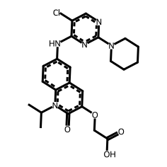 CC(C)n1c(=O)c(OCC(=O)O)cc2cc(Nc3nc(N4CCCCC4)ncc3Cl)ccc21